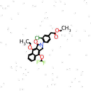 CCOC(=O)Cc1ccc(N2Cc3c(c(OCC)c4ccccc4c3OC(F)F)C2=O)c(Cl)c1